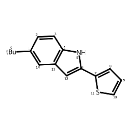 CC(C)(C)c1ccc2[nH]c(-c3cccs3)cc2c1